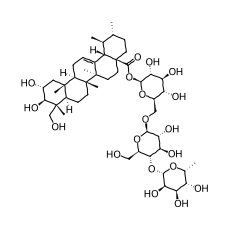 C[C@H]1[C@H](C)CC[C@]2(C(=O)O[C@@H]3O[C@H](CO[C@@H]4O[C@H](CO)[C@@H](O[C@@H]5O[C@H](C)[C@H](O)[C@@H](O)[C@H]5O)[C@H](O)[C@H]4O)[C@@H](O)[C@H](O)[C@H]3O)CC[C@]3(C)C(=CC[C@@H]4[C@@]5(C)C[C@@H](O)[C@H](O)[C@@](C)(CO)[C@@H]5CC[C@]43C)[C@H]12